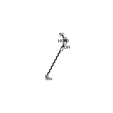 CC(C)(C)SCCCCCCCCCCCCCCCCOC[C@@H](O)COP(=O)(O)OCC[N+](C)(C)C